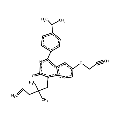 C#CCOc1ccc2c(c1)c(-c1ccc(C(C)C)cc1)nc(=O)n2CC(C)(C)CC=C